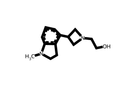 CN1CCc2c(C3CN(CCO)C3)cccc21